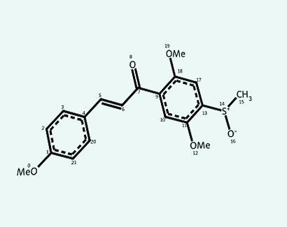 COc1ccc(C=CC(=O)c2cc(OC)c([S+](C)[O-])cc2OC)cc1